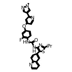 CC(C)c1nc(NC(=O)Nc2ccc(Oc3ccnc(-c4cnn(C)c4)c3)cc2F)c(-c2ccc3ncccc3c2)s1